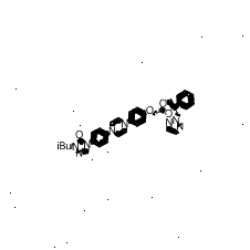 CCC(C)n1ncn(-c2ccc(N3CCN(c4ccc(OC[C@@H]5OC[C@@](Cn6nccn6)(c6ccccc6)O5)cc4)CC3)cc2)c1=O